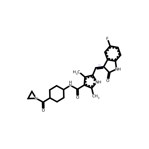 Cc1[nH]c(/C=C2\C(=O)Nc3ccc(F)cc32)c(C)c1C(=O)NC1CCC(C(=O)N2CC2)CC1